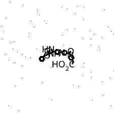 N=C(NC(=O)OCc1ccccc1)c1ccc(N2CCC(C(=O)N3CCC(CC(=O)O)CC3)CC2)cc1